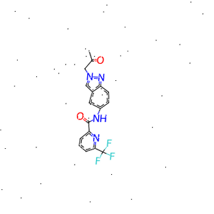 CC(=O)Cn1cc2cc(NC(=O)c3cccc(C(F)(F)F)n3)ccc2n1